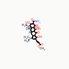 COC(=O)C#Cc1cc(N(C)C)c2c(c1O)C(=O)C1=C(O)[C@@]3(O)C(=O)C(C(N)=O)=C(O)[C@H](N(C)C)[C@H]3C[C@H]1C2